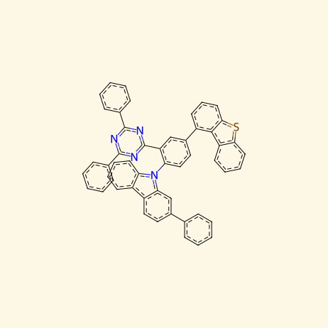 c1ccc(-c2ccc3c4ccccc4n(-c4ccc(-c5cccc6sc7ccccc7c56)cc4-c4nc(-c5ccccc5)nc(-c5ccccc5)n4)c3c2)cc1